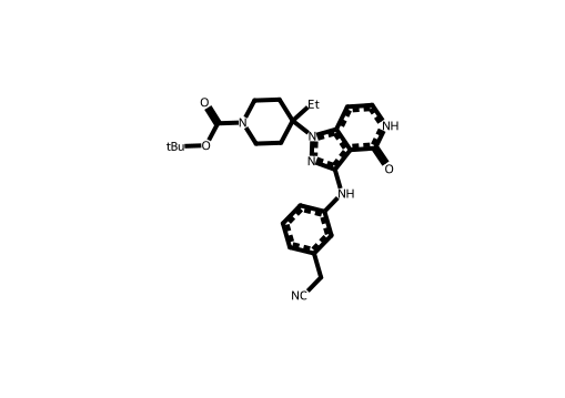 CCC1(n2nc(Nc3cccc(CC#N)c3)c3c(=O)[nH]ccc32)CCN(C(=O)OC(C)(C)C)CC1